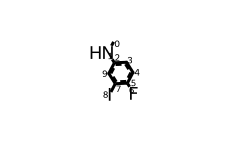 CNc1ccc(F)c(I)c1